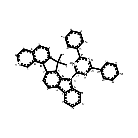 CC1(C)c2ccc3ccncc3c2-c2ccc3c4ccccc4n(-c4nc(-c5ccccc5)nc(-c5ccccc5)n4)c3c21